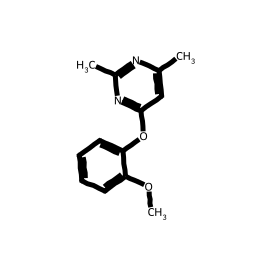 COc1ccccc1Oc1cc(C)nc(C)n1